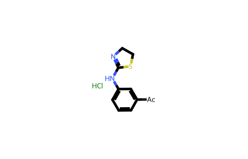 CC(=O)c1cccc(NC2=NCCS2)c1.Cl